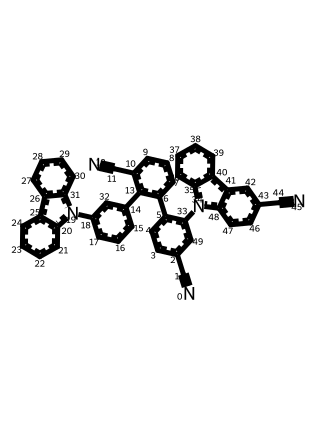 N#Cc1ccc(-c2cccc(C#N)c2-c2cccc(-n3c4ccccc4c4ccccc43)c2)c(-n2c3ccccc3c3cc(C#N)ccc32)c1